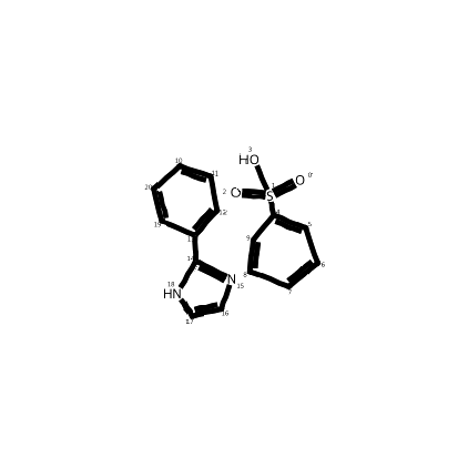 O=S(=O)(O)c1ccccc1.c1ccc(-c2ncc[nH]2)cc1